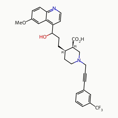 COc1ccc2nccc(C(O)CC[C@@H]3CCN(CC#Cc4cccc(C(F)(F)F)c4)C[C@@H]3C(=O)O)c2c1